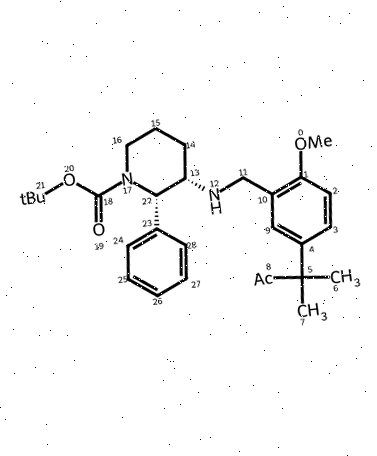 COc1ccc(C(C)(C)C(C)=O)cc1CN[C@H]1CCCN(C(=O)OC(C)(C)C)[C@H]1c1ccccc1